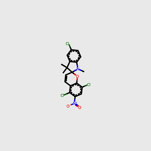 CN1c2ccc(Cl)cc2C(C)(C)C12C=Cc1c(Cl)c([N+](=O)[O-])cc(Cl)c1O2